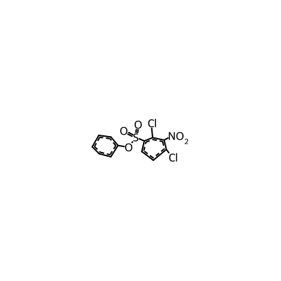 O=[N+]([O-])c1c(Cl)ccc(S(=O)(=O)Oc2ccccc2)c1Cl